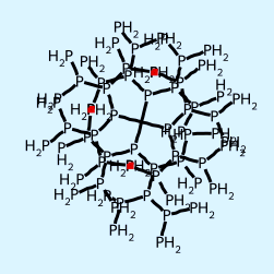 PPP(P)P(P(P(P)P)P(P)P)P(P(P(P)P)P(P)P)C(P(P(P(P)P)P(P)P)P(P(P)P)P(P)P)(P(P(P(P)P)P(P)P)P(P(P)P)P(P)P)P(P(P(P)P)P(P)P)P(P(P)P)P(P)P